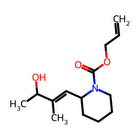 C=CCOC(=O)N1CCCCC1C=C(C)C(C)O